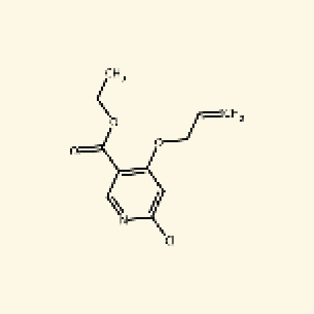 C=CCOc1cc(Cl)ncc1C(=O)OCC